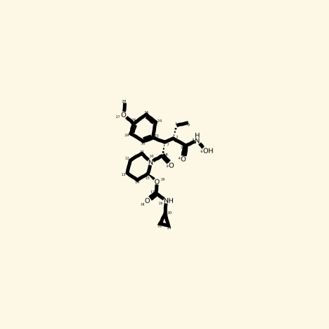 CC[C@H](C(=O)NO)[C@H](C(=O)N1CCCC[C@@H]1OC(=O)NC1CC1)c1ccc(OC)cc1